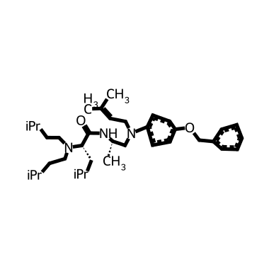 CC(C)=CCN(C[C@H](C)NC(=O)[C@H](CC(C)C)N(CCC(C)C)CCC(C)C)c1ccc(OCc2ccccc2)cc1